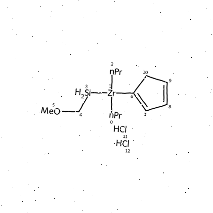 CC[CH2][Zr]([CH2]CC)([SiH2]COC)[C]1=CC=CC1.Cl.Cl